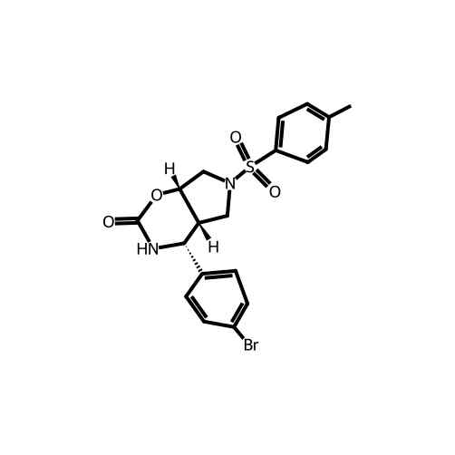 Cc1ccc(S(=O)(=O)N2C[C@H]3[C@@H](C2)OC(=O)N[C@H]3c2ccc(Br)cc2)cc1